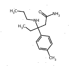 CCCNC(CC)(CC(N)=O)c1ccc(C)cc1